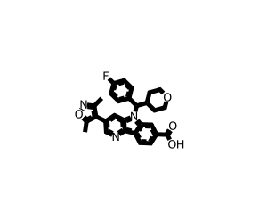 Cc1noc(C)c1-c1cnc2c3ccc(C(=O)O)cc3n(C(c3ccc(F)cc3)C3CCOCC3)c2c1